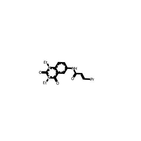 CCn1c(=O)c2cc(NC(=O)C=CC(C)C)ccc2n(CC)c1=O